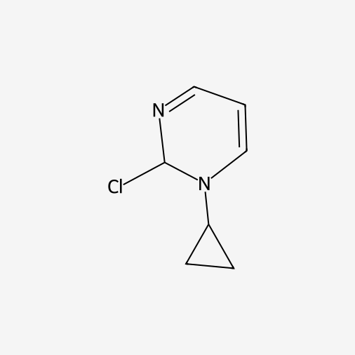 ClC1N=CC=CN1C1CC1